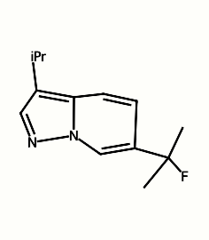 CC(C)c1cnn2cc(C(C)(C)F)ccc12